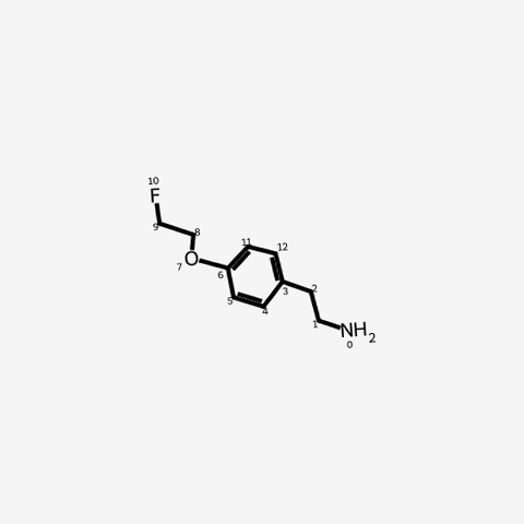 NCCc1ccc(OCCF)cc1